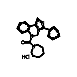 Cl.O=C(N1CCCCCC1)N1Cn2c(cnc2-c2ccccc2)-c2ccccc21